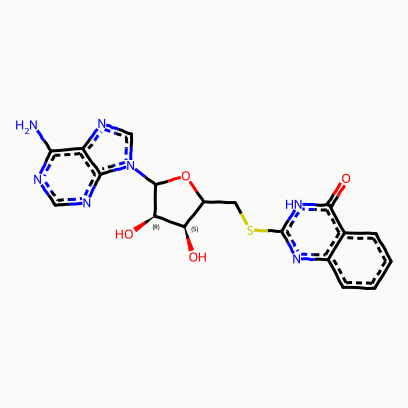 Nc1ncnc2c1ncn2C1OC(CSc2nc3ccccc3c(=O)[nH]2)[C@@H](O)[C@H]1O